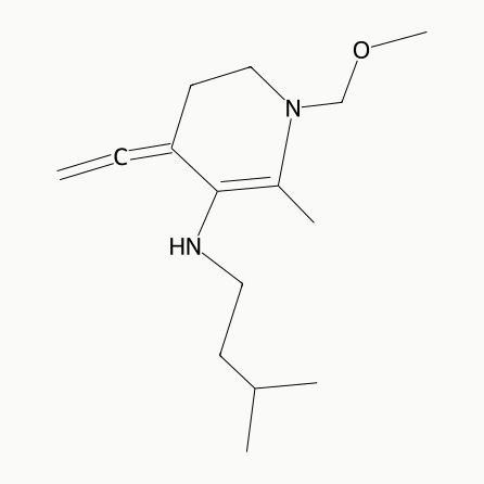 C=C=C1CCN(COC)C(C)=C1NCCC(C)C